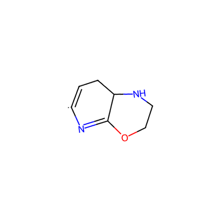 [C]1=CCC2NCCOC2=N1